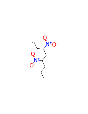 [CH2]CC(CC(CCC)[N+](=O)[O-])[N+](=O)[O-]